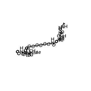 CNC(C)C(=O)NC(C(=O)N1Cc2cc(OCCOCCOCCOCCOCCOCCNC(=O)c3ccc(-n4cc(NC(=O)c5coc(-c6ccnc(NCC7CC7)c6)n5)c(C(F)F)n4)cc3)ccc2C[C@H]1C(=O)N[C@@H]1CCCc2ccccc21)C(C)(C)C